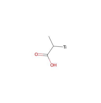 C[CH]([Ti])C(=O)O